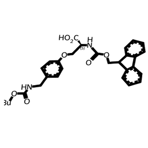 CC(C)(C)OC(=O)NCc1ccc(OC[C@H](NC(=O)OCC2c3ccccc3-c3ccccc32)C(=O)O)cc1